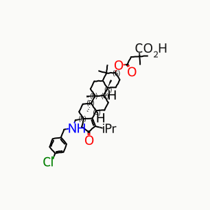 CC(C)C1=C2[C@H]3CC[C@@H]4[C@@]5(C)CC[C@H](OC(=O)CC(C)(C)C(=O)O)C(C)(C)C5CC[C@@]4(C)[C@]3(C)CC[C@@]2(CNCc2ccc(Cl)cc2)CC1=O